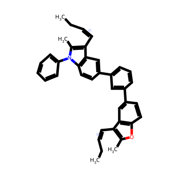 CC/C=C\c1c(C)oc2ccc(-c3cccc(-c4ccc5c(c4)c(/C=C\CC)c(C)n5-c4ccccc4)c3)cc12